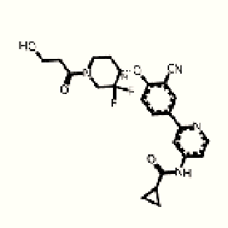 N#Cc1cc(-c2cc(NC(=O)C3CC3)ccn2)ccc1O[C@H]1CCN(C(=O)CCO)CC1(F)F